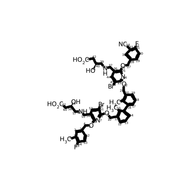 Cc1cc(COc2nc(OCc3cccc(-c4cccc(COc5nc(OCc6ccc(F)c(C#N)c6)c(CNC[C@@H](O)CC(=O)O)cc5Br)c4C)c3C)c(Br)cc2CNC[C@@H](O)CC(=O)O)ccc1F